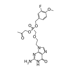 COc1ccc(COP(=O)(COCCn2cnc3c(=O)[nH]c(N)nc32)OCC(C)=O)cc1F